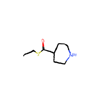 CCSC(=O)C1CCNCC1